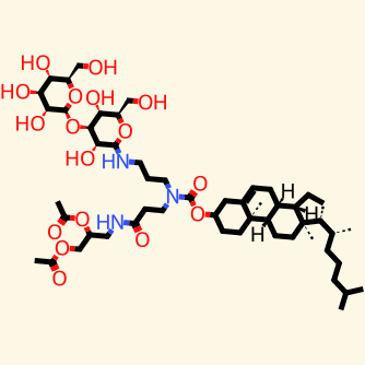 CC(=O)OCC(CNC(=O)CCN(CCCNC1O[C@H](CO)[C@@H](O)[C@H](O[C@@H]2O[C@H](CO)[C@@H](O)[C@H](O)[C@H]2O)[C@H]1O)C(=O)OC1CC[C@@]2(C)C(=CC[C@H]3[C@@H]4CC[C@H]([C@H](C)CCCC(C)C)[C@@]4(C)CC[C@@H]32)C1)OC(C)=O